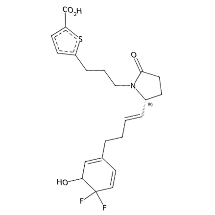 O=C(O)c1ccc(CCCN2C(=O)CC[C@@H]2C=CCCC2=CC(O)C(F)(F)C=C2)s1